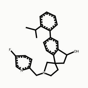 CC(C)c1ccccc1-c1ccc2c(c1)C(O)CC21CCN(Cc2ccc(F)cn2)C1